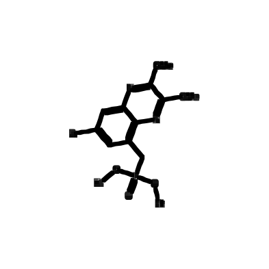 CCOP(=O)(Cc1cc(Br)cc2nc(OC)c(OC)nc12)OCC